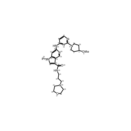 COC1CCN(c2nccc(Nc3cc4c(cn3)c(C(=O)NCCCN3CCOCC3)cn4C(C)C)n2)CC1